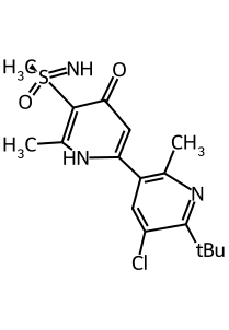 Cc1nc(C(C)(C)C)c(Cl)cc1-c1cc(=O)c([S@@](C)(=N)=O)c(C)[nH]1